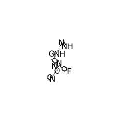 O=C(NCCCc1ncc[nH]1)c1ccc2nc(OCCc3ccccn3)c(-c3ccc(F)cc3)nc2c1